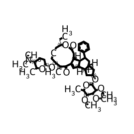 CC[C@H]1CCC[C@H](O[C@H]2CC[C@H](N(C)C)C(C)O2)[C@@H](C)C(=O)C2=C[C@@H]3C(C(c4ccccc4)C[C@@H]4C[C@@H](O[C@@H]5OC(C)[C@H](OC)C(OC)C5OC)C[C@H]43)[C@@H]2CC(=O)O1